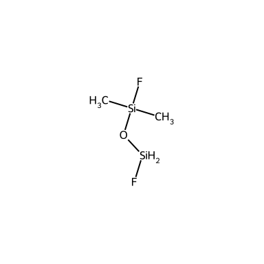 C[Si](C)(F)O[SiH2]F